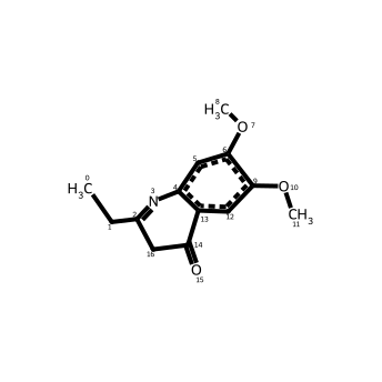 CCC1=Nc2cc(OC)c(OC)cc2C(=O)C1